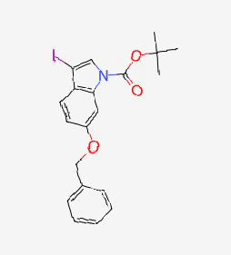 CC(C)(C)OC(=O)n1cc(I)c2ccc(OCc3ccccc3)cc21